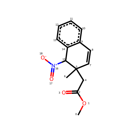 COC(=O)CC1(C)C=Cc2ccccc2C1[N+](=O)[O-]